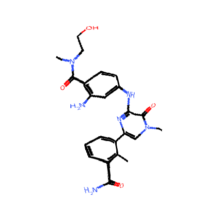 Cc1c(C(N)=O)cccc1-c1cn(C)c(=O)c(Nc2ccc(C(=O)N(C)CCO)c(N)c2)n1